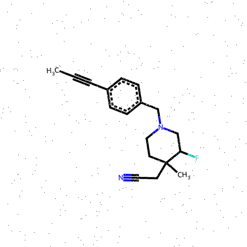 CC#Cc1ccc(CN2CCC(C)(CC#N)C(F)C2)cc1